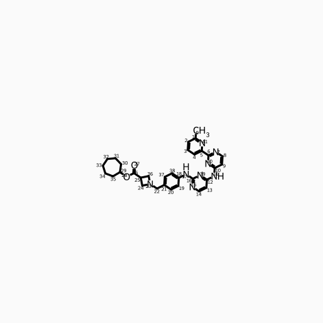 Cc1cccc(-c2nccc(Nc3ccnc(Nc4ccc(CN5CC(C(=O)OC6CCCCCC6)C5)cc4)n3)n2)n1